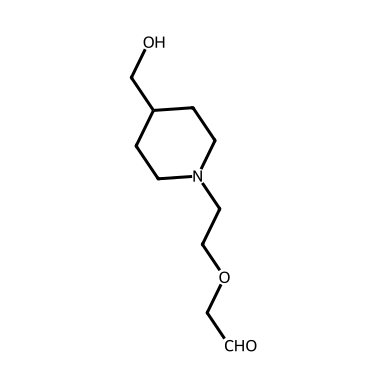 O=CCOCCN1CCC(CO)CC1